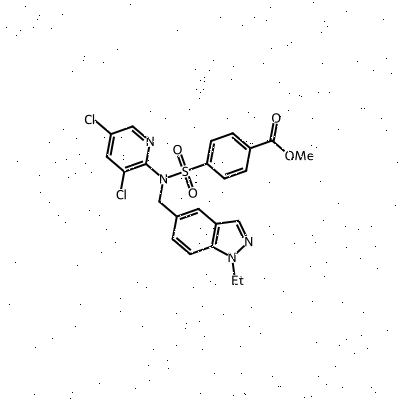 CCn1ncc2cc(CN(c3ncc(Cl)cc3Cl)S(=O)(=O)c3ccc(C(=O)OC)cc3)ccc21